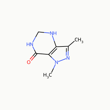 Cc1nn(C)c2c1NCNC2=O